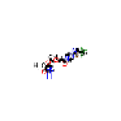 Cc1c(O[C@@H](C)COCCC(=O)N2CCN(c3ncc(C(F)(F)F)s3)CC2)cn[nH]c1=O